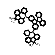 CC1(C)c2ccccc2-c2c(N(c3ccccc3)c3ccc4c(c3)-c3cc(N(c5cccc6c5-c5ccccc5C6(C)C)C5C=CC=CC5)ccc3C43c4ccccc4-c4ccccc43)cccc21